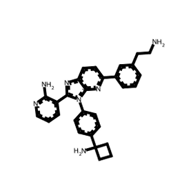 NCCc1cccc(-c2ccc3nc(-c4cccnc4N)n(-c4ccc(C5(N)CCC5)cc4)c3n2)c1